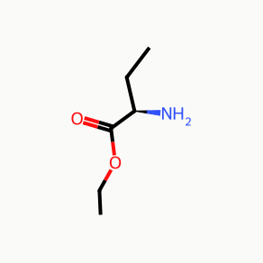 CCOC(=O)[C@H](N)CC